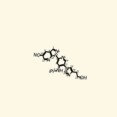 CC(C)Nc1cc(-n2ncc3cc(C#N)cnc32)ncc1-n1cc(CCO)nn1